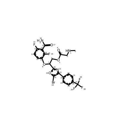 CNCC(=O)OCC(Oc1ccc(F)c(C(N)=O)c1F)c1nc(-c2ccc(C(F)(F)F)cc2)c(Br)o1